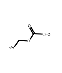 CCCCOC(=O)C=O